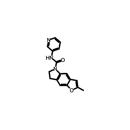 Cc1cc2cc3c(cc2o1)CCN3C(=O)Nc1cccnc1